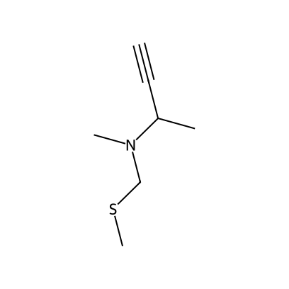 C#CC(C)N(C)CSC